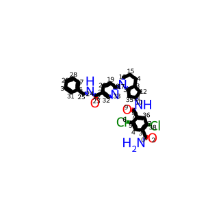 NC(=O)c1cc(Cl)c(C(=O)NC2CC3CCCN(c4ccc(C(=O)NCc5ccccc5)cn4)C3C2)cc1Cl